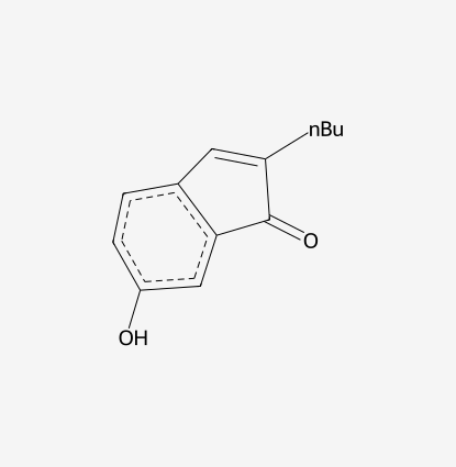 CCCCC1=Cc2ccc(O)cc2C1=O